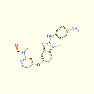 CN(C=O)c1cc(Oc2ccc3c(c2)nc(Nc2ccc(N)cc2)n3C)ccn1